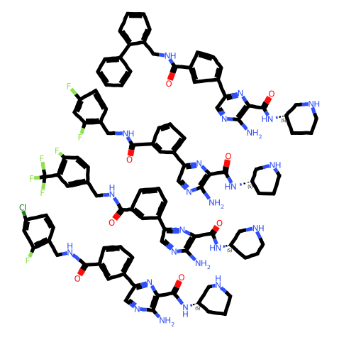 Nc1ncc(-c2cccc(C(=O)NCc3ccc(Cl)cc3F)c2)nc1C(=O)N[C@H]1CCCNC1.Nc1ncc(-c2cccc(C(=O)NCc3ccc(F)c(C(F)(F)F)c3)c2)nc1C(=O)N[C@H]1CCCNC1.Nc1ncc(-c2cccc(C(=O)NCc3ccc(F)cc3F)c2)nc1C(=O)N[C@H]1CCCNC1.Nc1ncc(-c2cccc(C(=O)NCc3ccccc3-c3ccccc3)c2)nc1C(=O)N[C@H]1CCCNC1